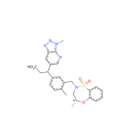 Cc1ccc(C(CC(=O)O)c2cnc3c(c2)nnn3C)cc1CN1C[C@@H](C)Oc2ccccc2S1(=O)=O